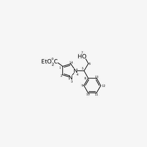 CCOC(=O)c1cnn(C(CO)c2ccccc2)c1